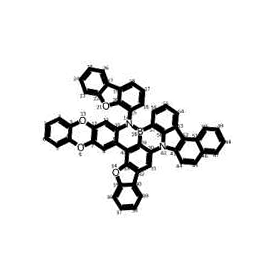 c1ccc2c(c1)Oc1cc3c(cc1O2)N(c1cccc2c1oc1ccccc12)B1c2c(cc4c(oc5ccccc54)c2-3)-n2c3ccc4ccccc4c3c3cccc1c32